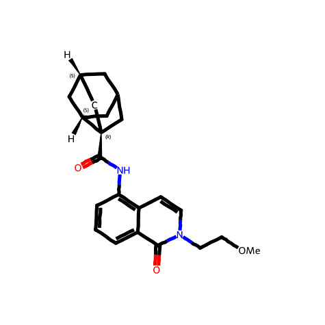 COCCn1ccc2c(NC(=O)[C@@]34CC5C[C@@H](C[C@@H]3C5)C4)cccc2c1=O